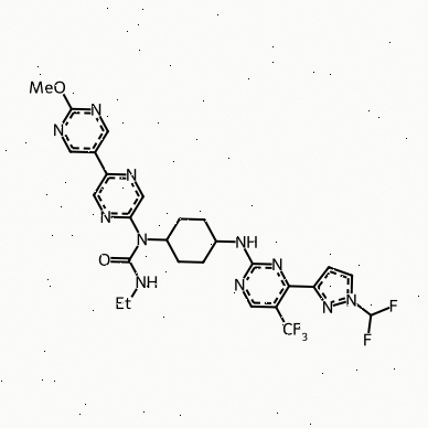 CCNC(=O)N(c1cnc(-c2cnc(OC)nc2)cn1)C1CCC(Nc2ncc(C(F)(F)F)c(-c3ccn(C(F)F)n3)n2)CC1